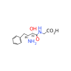 N[C@H](Cc1ccccc1)[C@H](O)C(=O)NCC(=O)O